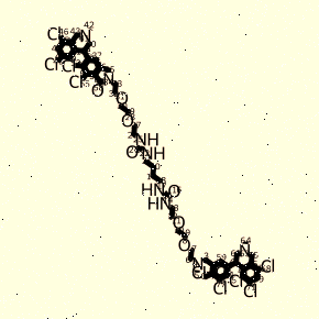 Cc1c(CN(C=O)CCOCCOCCNC(=O)NCCCCNC(=O)NCCOCCOCCN2Cc3cc(C4CN(C)Cc5c(Cl)cc(Cl)cc54)c(Cl)c(Cl)c3C2=O)cc(C2CN(C)Cc3c(Cl)cc(Cl)cc32)c(Cl)c1Cl